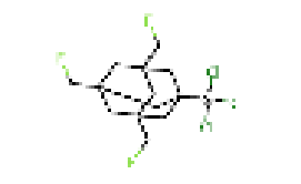 FCC12CC3(CF)CC(CF)(C1)CC([Si](Cl)(Cl)Cl)(C2)C3